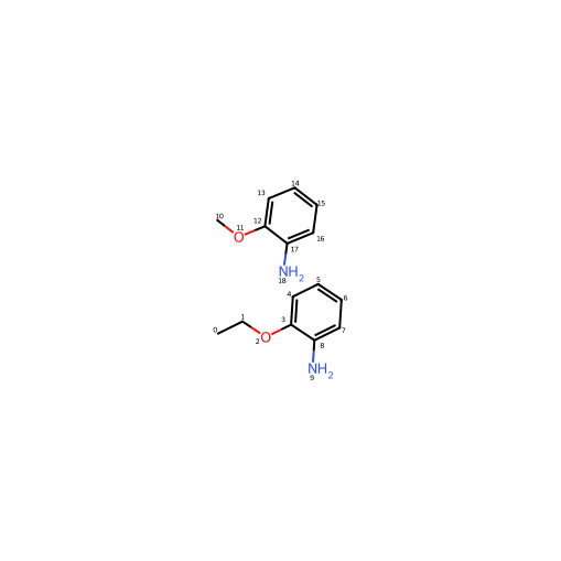 CCOc1ccccc1N.COc1ccccc1N